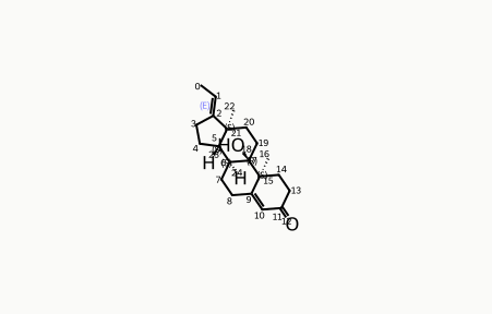 C/C=C1\CC[C@H]2[C@@H]3CCC4=CC(=O)CC[C@]4(C)[C@@]3(O)CC[C@]12C